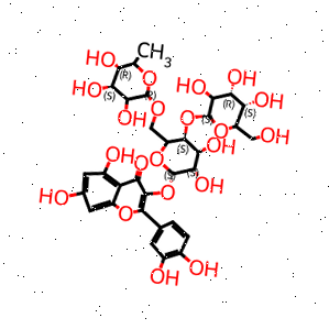 CC1O[C@@H](OCC2O[C@@H](Oc3c(-c4ccc(O)c(O)c4)oc4cc(O)cc(O)c4c3=O)[C@@H](O)C(O)[C@@H]2O[C@@H]2OC(CO)[C@@H](O)[C@@H](O)C2O)C(O)[C@@H](O)[C@H]1O